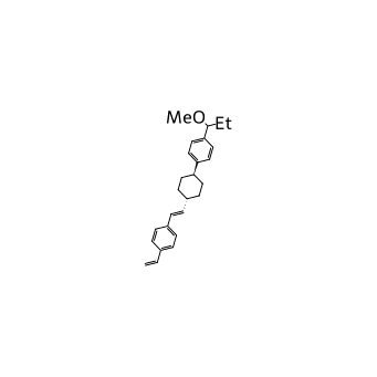 C=Cc1ccc(/C=C/[C@H]2CC[C@H](c3ccc(C(CC)OC)cc3)CC2)cc1